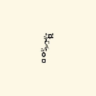 O=C(NCC(=O)N1CCN(C(=O)c2cc(F)c(Cl)cc2F)CC1)c1ccc(-c2ccccc2)cc1